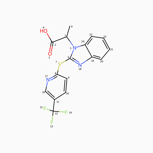 CC(C(=O)O)n1c(Sc2ccc(C(F)(F)F)cn2)nc2ccccc21